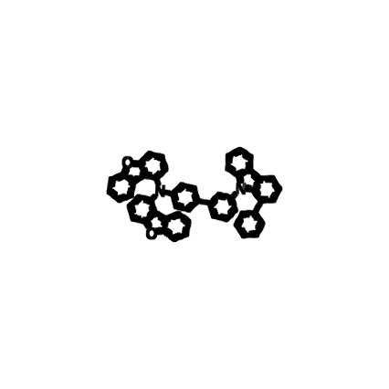 c1ccc(-c2cccc3c4ccccc4n(-c4cccc(-c5ccc(N(c6cccc7oc8ccccc8c67)c6cccc7oc8ccccc8c67)cc5)c4)c23)cc1